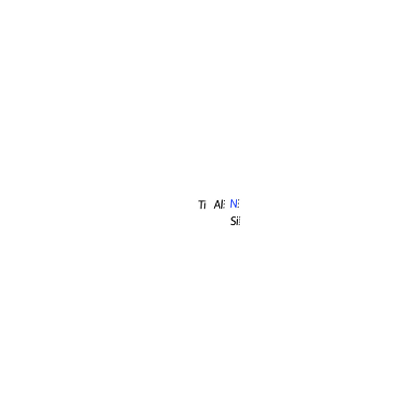 [Al].[N].[Si].[Ti]